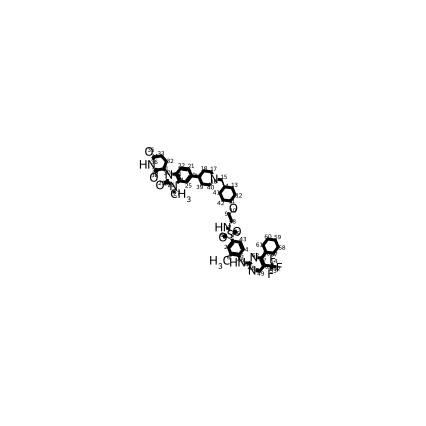 Cc1cc(S(=O)(=O)NCCO[C@H]2CC[C@H](CN3CCC(c4ccc5c(c4)n(C)c(=O)n5C4CCC(=O)NC4=O)CC3)CC2)ccc1Nc1ncc(C(F)(F)F)c(C2CCCCC2)n1